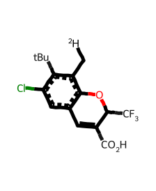 [2H]Cc1c2c(cc(Cl)c1C(C)(C)C)C=C(C(=O)O)C(C(F)(F)F)O2